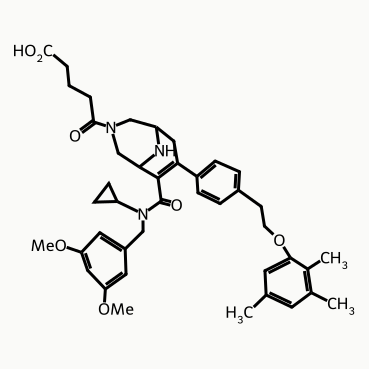 COc1cc(CN(C(=O)C2=C(c3ccc(CCOc4cc(C)cc(C)c4C)cc3)CC3CN(C(=O)CCCC(=O)O)CC2N3)C2CC2)cc(OC)c1